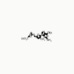 CCOC(=O)CO[PH](=O)OC[C@@H]1C[C@H](C)C(n2cnc3c(OCC)nc(N)nc32)O1